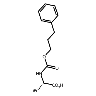 CC(C)[C@H](NC(=O)OCCCc1ccccc1)C(=O)O